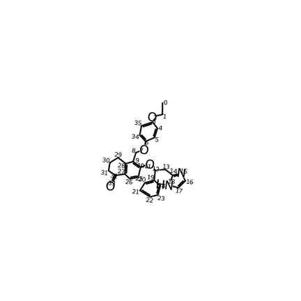 CCOc1ccc(OCc2c(O[C@@H](Cc3ncc[nH]3)c3ccccc3)ccc3c2CCCC3=O)cc1